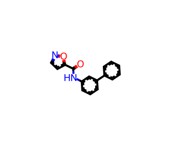 O=C(Nc1cccc(-c2ccccc2)c1)c1ccno1